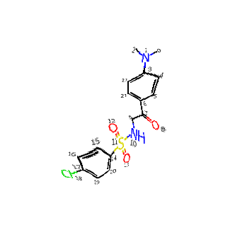 CN(C)c1ccc(C(=O)CNS(=O)(=O)c2ccc(Cl)cc2)cc1